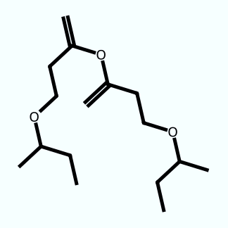 C=C(CCOC(C)CC)OC(=C)CCOC(C)CC